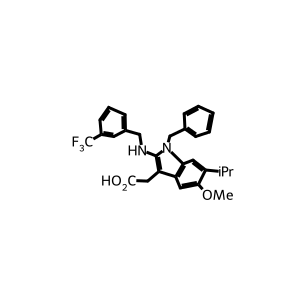 COc1cc2c(CC(=O)O)c(NCc3cccc(C(F)(F)F)c3)n(Cc3ccccc3)c2cc1C(C)C